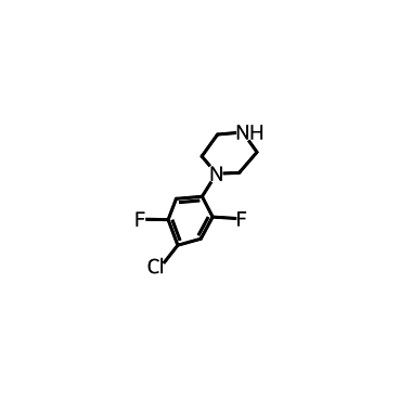 Fc1cc(N2CCNCC2)c(F)cc1Cl